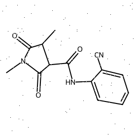 CC1C(=O)N(C)C(=O)C1C(=O)Nc1ccccc1C#N